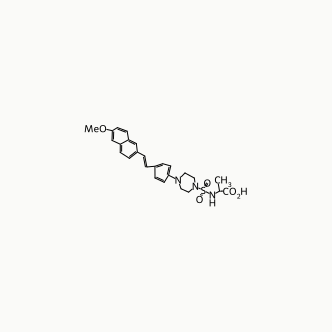 COc1ccc2cc(C=Cc3ccc(N4CCN(S(=O)(=O)N[C@@H](C)C(=O)O)CC4)cc3)ccc2c1